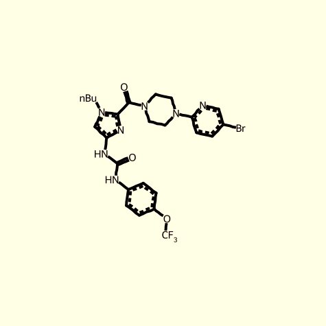 CCCCn1cc(NC(=O)Nc2ccc(OC(F)(F)F)cc2)nc1C(=O)N1CCN(c2ccc(Br)cn2)CC1